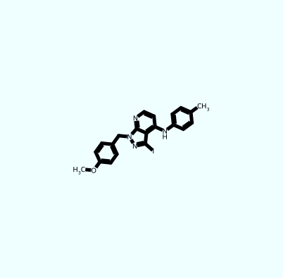 COc1ccc(Cn2nc(I)c3c(Nc4ccc(C)cc4)ccnc32)cc1